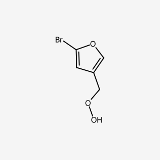 OOCc1coc(Br)c1